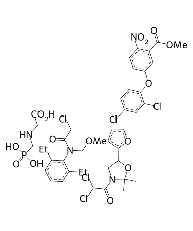 CC1(C)OC(c2ccco2)CN1C(=O)C(Cl)Cl.CCc1cccc(CC)c1N(COC)C(=O)CCl.COC(=O)c1cc(Oc2ccc(Cl)cc2Cl)ccc1[N+](=O)[O-].O=C(O)CNCP(=O)(O)O